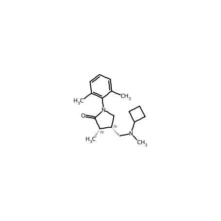 Cc1cccc(C)c1N1C[C@H](CN(C)C2CCC2)[C@H](C)C1=O